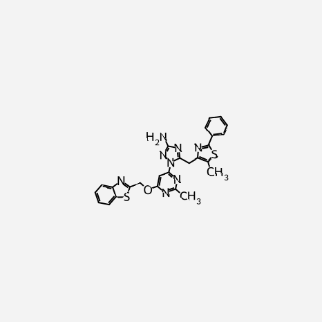 Cc1nc(OCc2nc3ccccc3s2)cc(-n2nc(N)nc2Cc2nc(-c3ccccc3)sc2C)n1